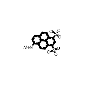 CNc1ccc2ccc3c(S(=O)(=O)Cl)cc(S(=O)(=O)Cl)c4ccc1c2c34